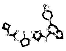 CN1CCN(c2cc3nccn3c(Nc3cc([C@@H]4CC[C@H](OC(=O)NC56CC(C5)C6)[C@H]4F)[nH]n3)n2)CC1